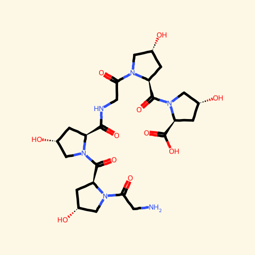 NCC(=O)N1C[C@H](O)C[C@H]1C(=O)N1C[C@H](O)C[C@H]1C(=O)NCC(=O)N1C[C@H](O)C[C@H]1C(=O)N1C[C@H](O)C[C@H]1C(=O)O